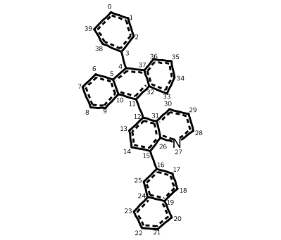 c1ccc(-c2c3ccccc3c(-c3ccc(-c4ccc5ccccc5c4)c4ncccc34)c3ccccc23)cc1